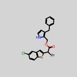 CC(C)C(C(=O)OCc1[nH]ccc1Cc1ccccc1)c1cc2cc(Cl)ccc2s1